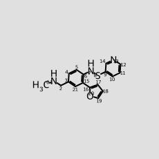 CNCc1ccc(NSc2cccnc2)c(-c2ccco2)c1